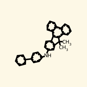 CC1(C)c2cc(Nc3ccc(-c4ccccc4)cc3)ccc2-c2c1c1ccccc1c1ccccc21